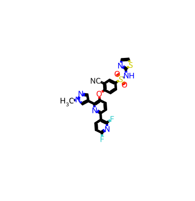 Cn1cc(-c2nc(-c3ccc(F)nc3F)ccc2Oc2ccc(S(=O)(=O)Nc3nccs3)cc2C#N)cn1